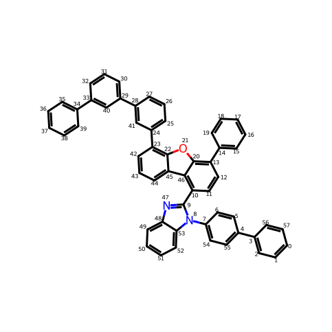 c1ccc(-c2ccc(-n3c(-c4ccc(-c5ccccc5)c5oc6c(-c7cccc(-c8cccc(-c9ccccc9)c8)c7)cccc6c45)nc4ccccc43)cc2)cc1